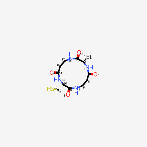 CC[C@H]1NC(=O)CCNC(=O)[C@H](CS)NC(=O)CCNC1=O